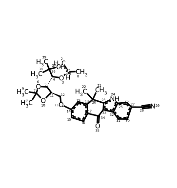 C[SiH](C)OC([C@H]1OC(C)(C)O[C@@H]1COc1ccc2c(c1)C(C)(C)c1[nH]c3cc(C#N)ccc3c1C2=O)C(C)(C)C